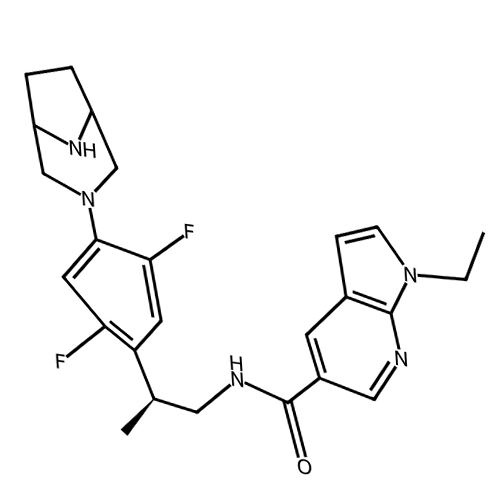 CCn1ccc2cc(C(=O)NC[C@@H](C)c3cc(F)c(N4CC5CCC(C4)N5)cc3F)cnc21